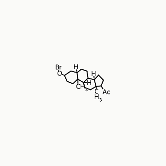 CC(=O)C1CC[C@H]2C3CC[C@H]4C[C@H](OBr)CCC4(C)[C@H]3CCC12C